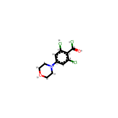 O=C(Cl)c1c(Cl)cc(N2CCOCC2)cc1Cl